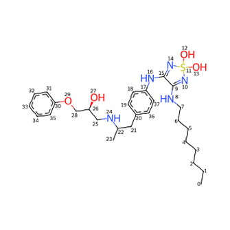 CCCCCCCCNC1=NS(O)(O)N=C1Nc1ccc(CC(C)NC[C@H](O)COc2ccccc2)cc1